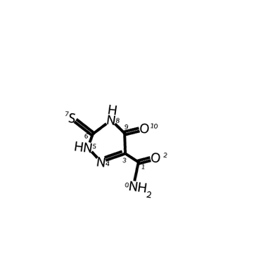 NC(=O)c1n[nH]c(=S)[nH]c1=O